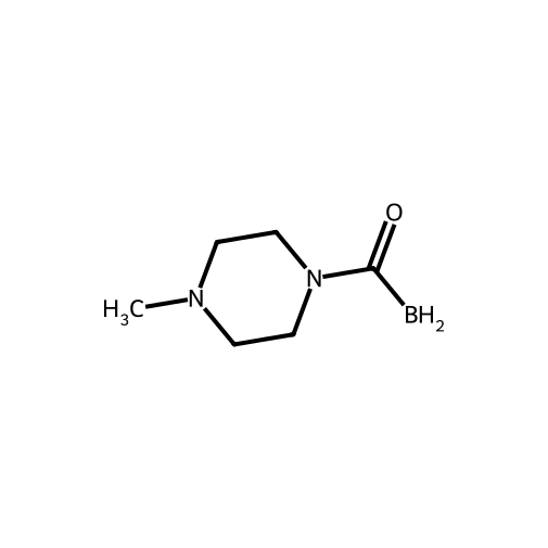 BC(=O)N1CCN(C)CC1